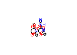 C[C@H]1[C@@H](c2ccccc2)OC(=O)CCC=CC[C@@H](CC(=O)NCC2CCN(C)CC2)C(=O)N1C.C[C@H]1[C@@H](c2ccccc2)OC(=O)CCC=CC[C@@H](CC(=O)OC(C)(C)C)C(=O)N1C